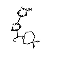 O=C(c1csc(-c2cn[nH]c2)c1)N1CCCC(F)(F)CC1